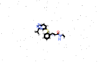 CCNC(=O)/C=C/c1ccccc1Sc1ccc2nnc(C(C)C)n2c1